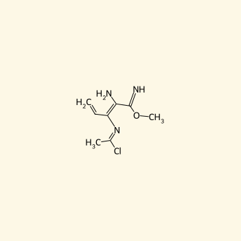 C=CC(/N=C(\C)Cl)=C(\N)C(=N)OC